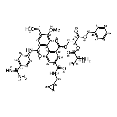 C=Cc1cc(C(=O)Nc2ccc(C(=N)N)cc2)c(-c2ccc(C(=O)NCC3CC3)nc2C(=O)OC[C@@H](OC(=O)[C@@H](N)C(C)C)C(=O)OCc2ccccc2)cc1OC